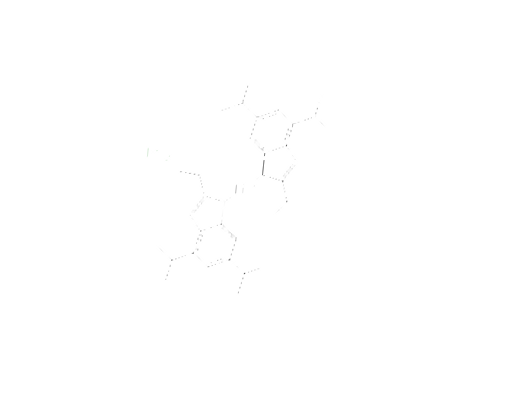 CCC1=Cc2c(C(C)C)cc(C(C)C)cc2[CH]1[Hf+2][CH]1C(CC)=Cc2c(C(C)C)cc(C(C)C)cc21.[Br-].[Br-]